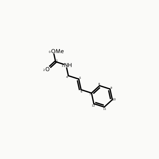 COC(=O)NCC=Cc1ccccc1